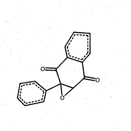 O=C1c2ccccc2C(=O)C2(c3ccccc3)OC12